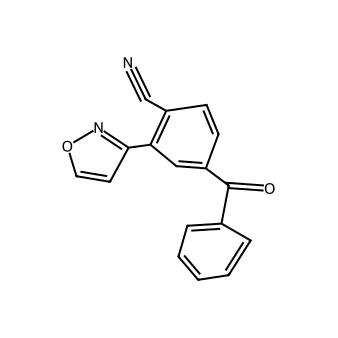 N#Cc1ccc(C(=O)c2ccccc2)cc1-c1ccon1